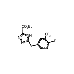 CCOC(=O)c1nnc(Cc2ccc(F)c(C(F)(F)F)c2)[nH]1